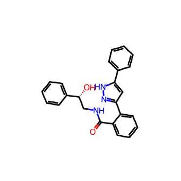 O=C(NC[C@@H](O)c1ccccc1)c1ccccc1-c1cc(-c2ccccc2)[nH]n1